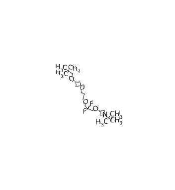 CC(C)(C)COC1CC(OCCCOCC(F)(F)COC2CN(C(C)(C)C)C2)C1